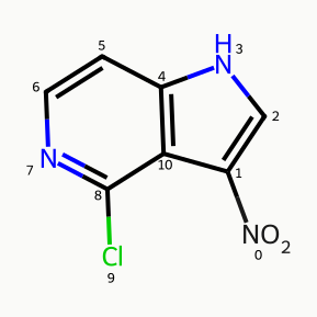 O=[N+]([O-])c1c[nH]c2ccnc(Cl)c12